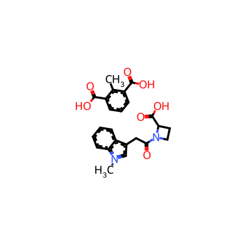 Cc1c(C(=O)O)cccc1C(=O)O.Cn1cc(CC(=O)N2CCC2C(=O)O)c2ccccc21